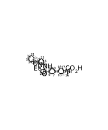 CCc1noc(-c2ccc(-c3ccc(C4(C(=O)O)CC4)cc3)cc2)c1Nc1cccc(OC2CCCCC2)n1